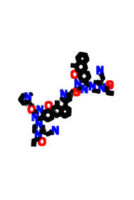 C=CC(=O)N1CCN(c2nc(OC[C@@H]3CC(c4cccc5c4C(=C)C[C@]4(CCc6c(nc(OC[C@@H]7CCCN7C)nc6N6CCN(C(=O)C=C)[C@@H](CC#N)C6)C4=O)C5)CN3C)nc3c2CC[C@@]2(Cc4ccccc4C(C)C2)C3=O)C[C@@H]1CC#N